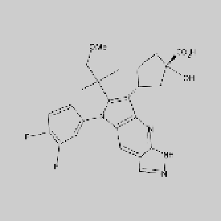 COCC(C)(C)c1c([C@@H]2CC[C@@](O)(C(=O)O)C2)c2nc3[nH]ncc3cc2n1-c1ccc(F)c(F)c1